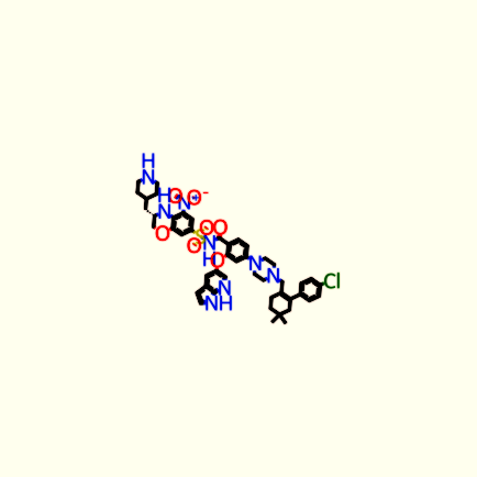 CC1(C)CCC(CN2CCN(c3ccc(C(=O)NS(=O)(=O)c4cc5c(c([N+](=O)[O-])c4)N[C@@H](CC4CCNCC4)CO5)c(Oc4cnc5[nH]ccc5c4)c3)CC2)=C(c2ccc(Cl)cc2)C1